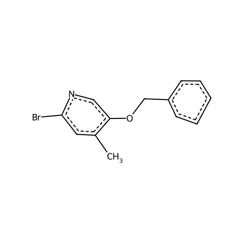 Cc1cc(Br)ncc1OCc1ccccc1